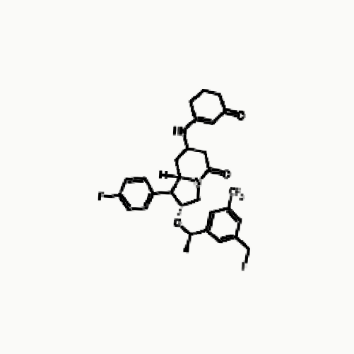 C[C@@H](O[C@H]1CN2C(=O)CC(NC3=CC(=O)CCC3)C[C@H]2C1c1ccc(F)cc1)c1cc(CF)cc(C(F)(F)F)c1